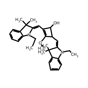 CCN1C(=CC2=C(OC)C(C=C3N(CC)c4ccccc4C3(C)C)C2O)C(C)(C)c2ccccc21